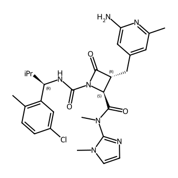 Cc1cc(C[C@H]2C(=O)N(C(=O)N[C@@H](c3cc(Cl)ccc3C)C(C)C)[C@@H]2C(=O)N(C)c2nccn2C)cc(N)n1